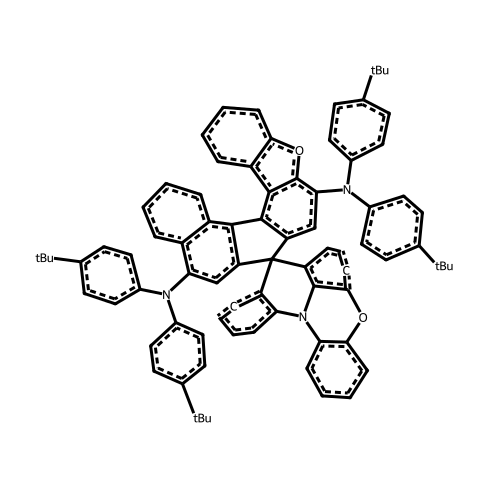 CC(C)(C)c1ccc(N(c2ccc(C(C)(C)C)cc2)c2cc3c(c4ccccc24)-c2c(cc(N(c4ccc(C(C)(C)C)cc4)c4ccc(C(C)(C)C)cc4)c4oc5ccccc5c24)C32c3ccccc3N3c4ccccc4Oc4cccc2c43)cc1